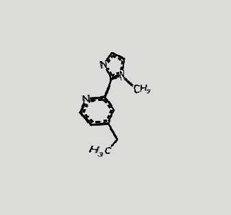 CCc1ccnc(-c2nccn2C)c1